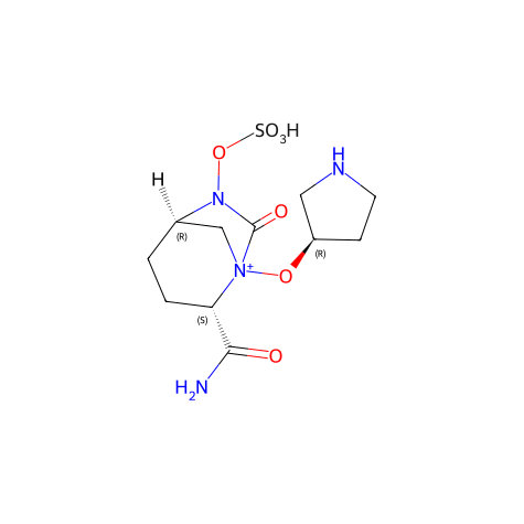 NC(=O)[C@@H]1CC[C@@H]2C[N+]1(O[C@@H]1CCNC1)C(=O)N2OS(=O)(=O)O